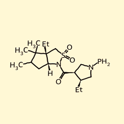 CC[C@@H]1CN(P)C[C@@H]1C(=O)N1[C@@H]2CC(C)C(C)(C)[C@]2(CC)CS1(=O)=O